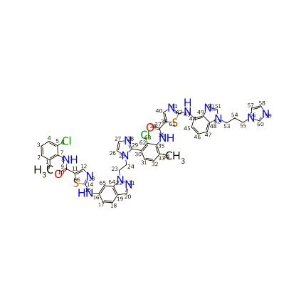 Cc1cccc(Cl)c1NC(=O)c1cnc(Nc2ccc3cnn(CCn4ccnc4-c4ccc(C)c(NC(=O)c5cnc(Nc6cccc7c6ncn7CCCn6ccnc6)s5)c4Cl)c3c2)s1